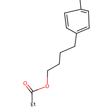 CCC(=O)OCCCCc1ccc(C)cc1